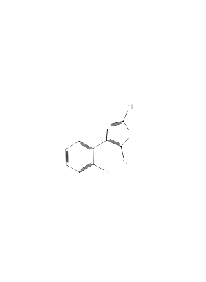 Nc1nc(-c2ccccc2[N+](=O)[O-])c([N+](=O)[O-])s1